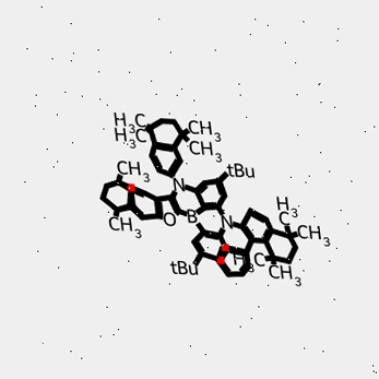 CC(C)(C)c1ccc2c(c1)B1c3oc4cc5c(cc4c3N(c3ccc4c(c3)C(C)(C)CCC4(C)C)c3cc(C(C)(C)C)cc(c31)N2c1ccc2c(c1-c1ccccc1)C(C)(C)CCC2(C)C)C1(C)CCC5(C)CC1